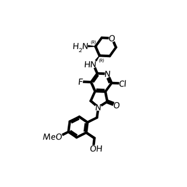 COc1ccc(CN2Cc3c(F)c(N[C@@H]4CCOC[C@@H]4N)nc(Cl)c3C2=O)c(CO)c1